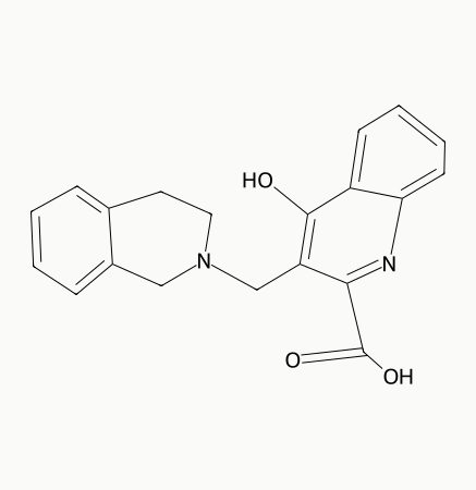 O=C(O)c1nc2ccccc2c(O)c1CN1CCc2ccccc2C1